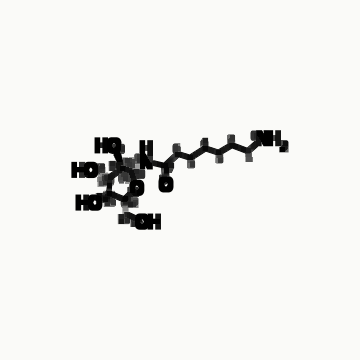 NCCCCCCC(=O)N[C@@H]1O[C@H](CO)[C@H](O)[C@H](O)[C@H]1O